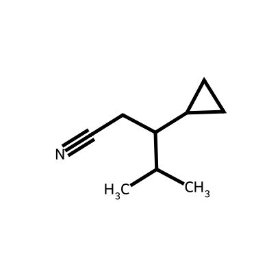 CC(C)C(CC#N)C1CC1